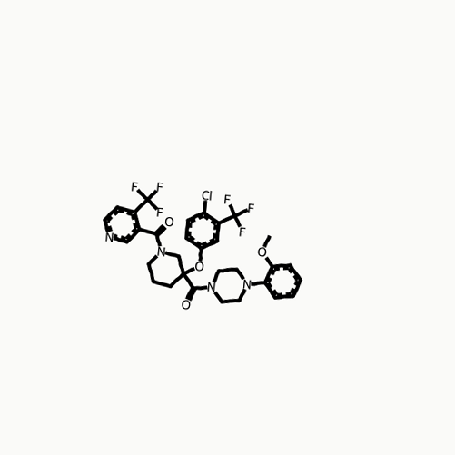 COc1ccccc1N1CCN(C(=O)C2(Oc3ccc(Cl)c(C(F)(F)F)c3)CCCN(C(=O)c3cnccc3C(F)(F)F)C2)CC1